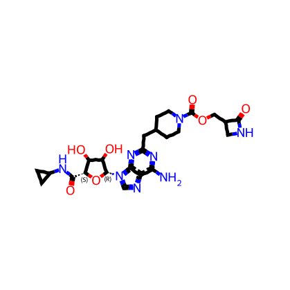 Nc1nc(CC2CCN(C(=O)OCC3CNC3=O)CC2)nc2c1ncn2[C@@H]1O[C@H](C(=O)NC2CC2)C(O)C1O